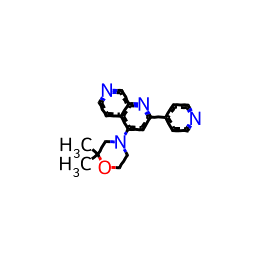 CC1(C)CN(c2cc(-c3ccncc3)nc3cnccc23)CCO1